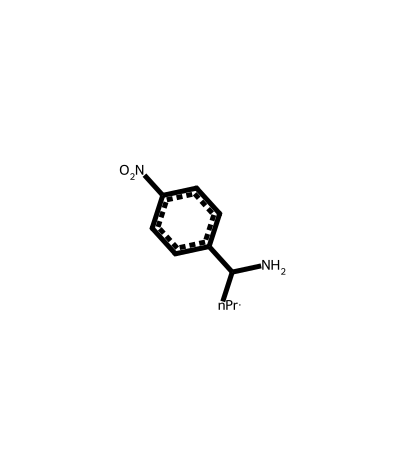 CC[CH]C(N)c1ccc([N+](=O)[O-])cc1